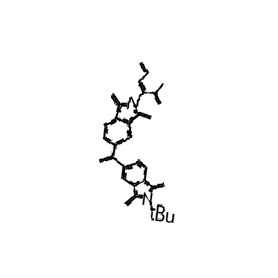 C=C/C=C(\C(=C)C)n1c(=C)c2ccc(C(=C)c3ccc4c(=C)n(C(C)(C)C)c(=C)c4c3)cc2c1=C